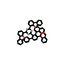 c1ccc(-c2ccc(-c3cccc4ccccc34)c(-c3cccc4ccccc34)c2-c2nc(-c3cccc4c3oc3ccccc34)nc(-c3cccc4c3oc3ccccc34)n2)cc1